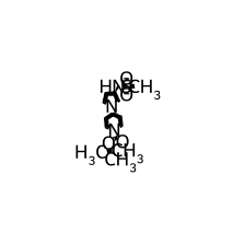 CC(C)(C)OC(=O)N1CCC(N2CC[C@@H](NS(C)(=O)=O)C2)CC1